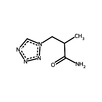 CC(Cn1cnnn1)C(N)=O